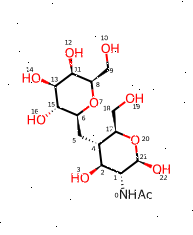 CC(=O)N[C@@H]1[C@@H](O)[C@H](C[C@@H]2O[C@H](CO)[C@H](O)[C@H](O)[C@H]2O)[C@@H](CO)O[C@H]1O